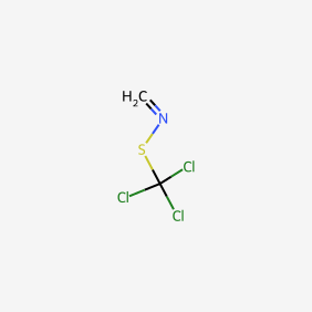 C=NSC(Cl)(Cl)Cl